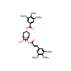 COc1cc(/C=C/C(=O)O[C@@H]2C3C[C@@H](OC(=O)c4cc(OC)c(OC)c(OC)c4)CC([C@@H]2O)N3C)cc(OC)c1OC